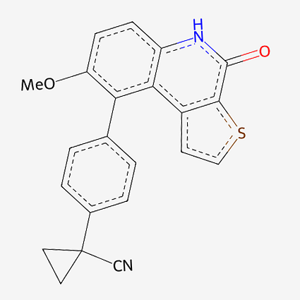 COc1ccc2[nH]c(=O)c3sccc3c2c1-c1ccc(C2(C#N)CC2)cc1